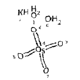 O.O.[KH].[O]=[Os](=[O])(=[O])=[O]